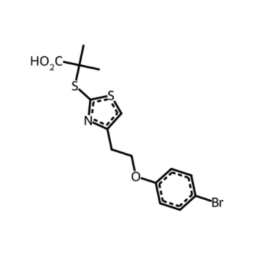 CC(C)(Sc1nc(CCOc2ccc(Br)cc2)cs1)C(=O)O